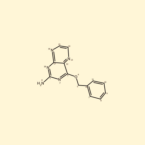 Nc1nc(OCc2ccccc2)c2nccnc2n1